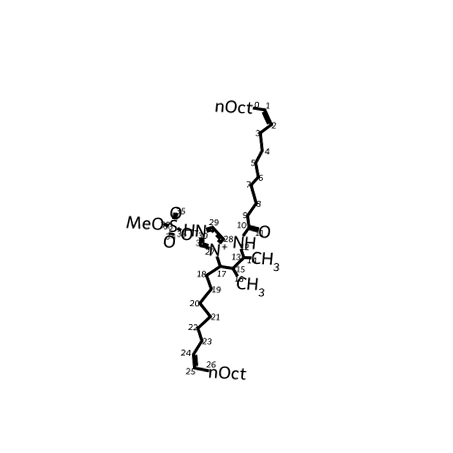 CCCCCCCC/C=C\CCCCCCCC(=O)NC(C)C(C)C(CCCCCC/C=C\CCCCCCCC)[n+]1cc[nH]c1.COS(=O)(=O)[O-]